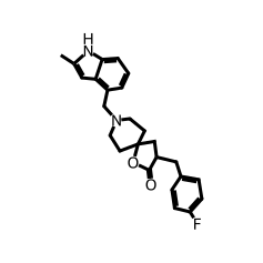 Cc1cc2c(CN3CCC4(CC3)CC(Cc3ccc(F)cc3)C(=O)O4)cccc2[nH]1